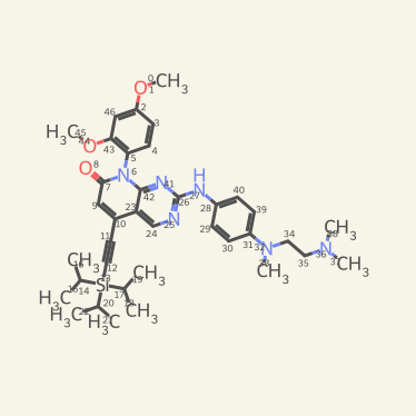 COc1ccc(-n2c(=O)cc(C#C[Si](C(C)C)(C(C)C)C(C)C)c3cnc(Nc4ccc(N(C)CCN(C)C)cc4)nc32)c(OC)c1